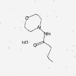 CCCC(=O)NN1CCOCC1.Cl